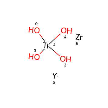 [OH][Ti]([OH])([OH])[OH].[Y].[Zr]